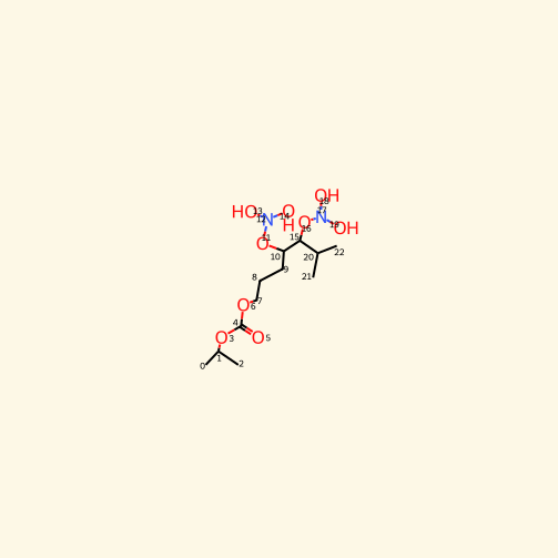 CC(C)OC(=O)OCCCC(ON(O)O)C(ON(O)O)C(C)C